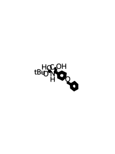 CC(O)[C@H](NC(=O)OC(C)(C)C)c1ccc(OCc2ccccc2)cc1